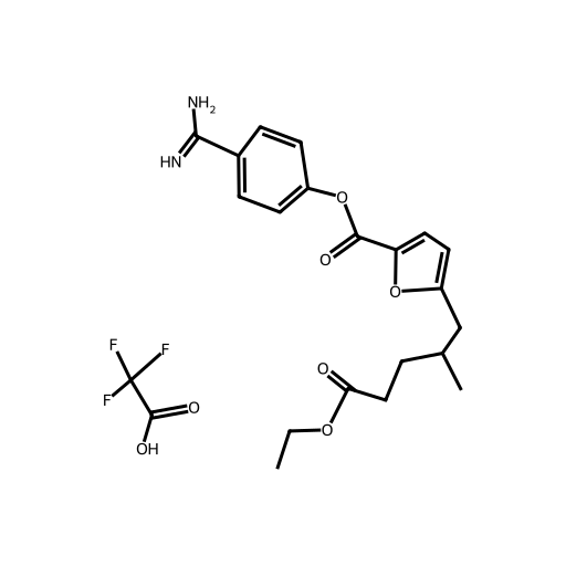 CCOC(=O)CCC(C)Cc1ccc(C(=O)Oc2ccc(C(=N)N)cc2)o1.O=C(O)C(F)(F)F